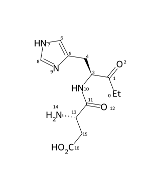 CCC(=O)[C@H](Cc1c[nH]cn1)NC(=O)[C@@H](N)CC(=O)O